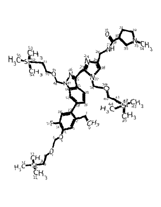 CCc1cc(OCOCC[Si](C)(C)C)c(F)cc1-c1ccc2c(-c3nc(CNC(=O)C4CCN(C)C4)cn3COCC[Si](C)(C)C)nn(COCC[Si](C)(C)C)c2c1